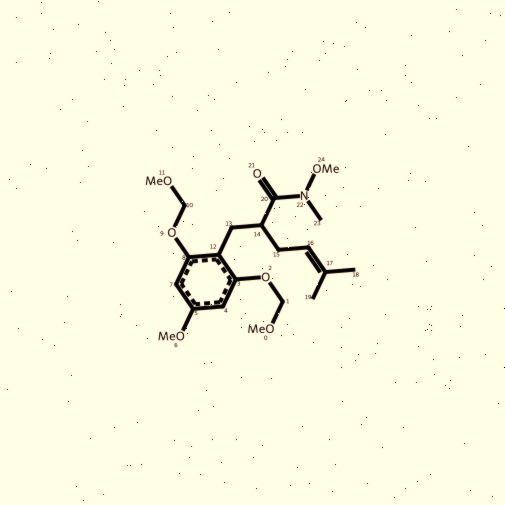 COCOc1cc(OC)cc(OCOC)c1CC(CC=C(C)C)C(=O)N(C)OC